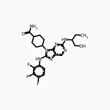 CCC(CO)Nc1ncc2nc(Nc3ccc(F)c(F)c3F)n(C3CCC(C(N)=O)CC3)c2n1